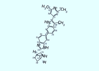 Cc1cc(-c2[nH]c3cc(-c4ccc5nc([C@@H]6N[C@H]7CC[C@@H]6C7)[nH]c5c4)ccc3c2C)cc(C)n1